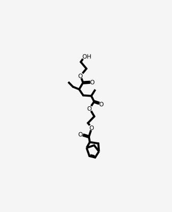 CCC(CC(C)C(=O)OCCOC(=O)C1CC2C=CC1C2)C(=O)OCCO